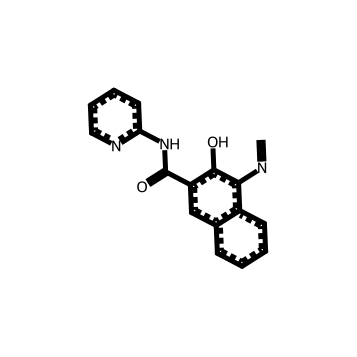 C=Nc1c(O)c(C(=O)Nc2ccccn2)cc2ccccc12